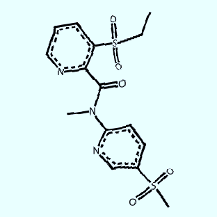 CCS(=O)(=O)c1cccnc1C(=O)N(C)c1ccc(S(C)(=O)=O)cn1